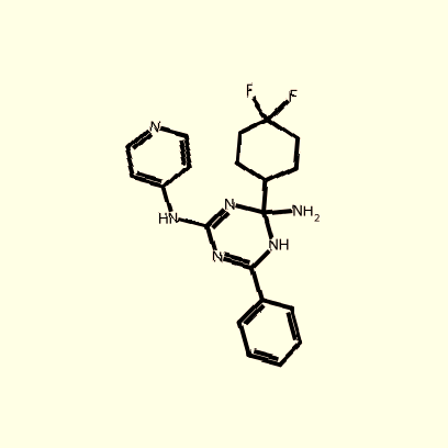 NC1(C2CCC(F)(F)CC2)N=C(Nc2ccncc2)N=C(c2ccccc2)N1